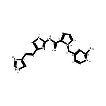 O=C(Nc1nc(C=Cc2c[nH]cn2)cs1)c1cccn1Cc1ccnc(F)c1